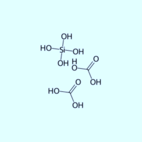 O=C(O)O.O=C(O)O.O[Si](O)(O)O